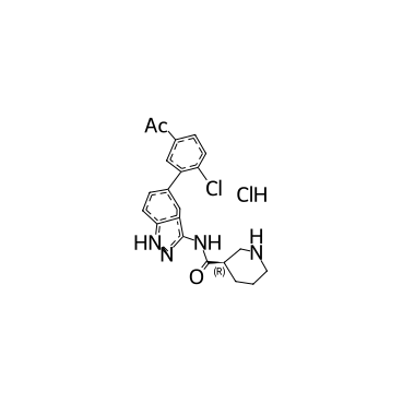 CC(=O)c1ccc(Cl)c(-c2ccc3[nH]nc(NC(=O)[C@@H]4CCCNC4)c3c2)c1.Cl